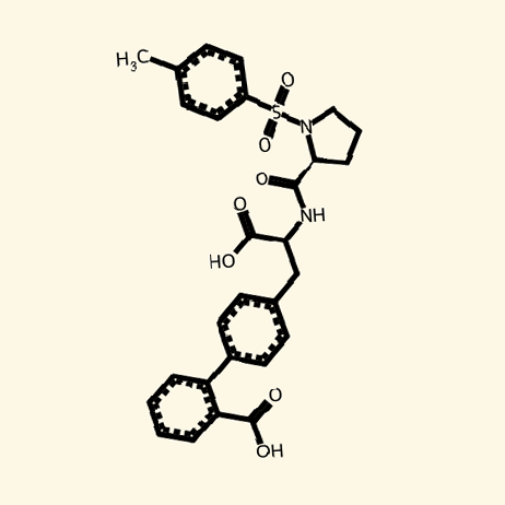 Cc1ccc(S(=O)(=O)N2CCC[C@H]2C(=O)NC(Cc2ccc(-c3ccccc3C(=O)O)cc2)C(=O)O)cc1